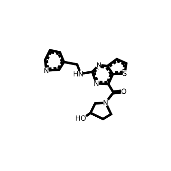 O=C(c1nc(NCc2cccnc2)nc2ccsc12)N1CCC(O)C1